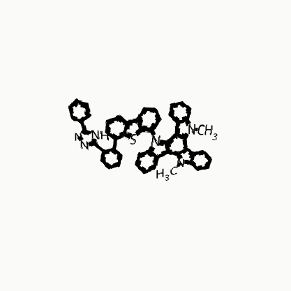 Cn1c2ccccc2c2c1c1c3ccccc3n(-c3cccc4c3sc3c(-c5ccccc5-c5nnc(-c6ccccc6)[nH]5)cccc34)c1c1c3ccccc3n(C)c21